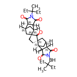 CCC(C)(BN1C(=O)[C@H]2[C@H]3C[C@@H]([C@H]2C1=O)[C@]1(CC[C@]2(C[C@H]4C[C@@H]2[C@@H]2C(=O)N(C(C)(CC)CC)C(=O)[C@H]42)C1=O)C3)CC